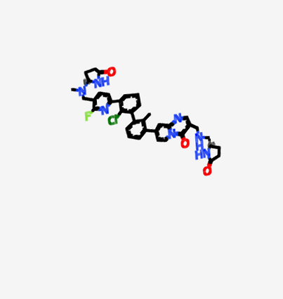 Cc1c(-c2ccn3c(=O)c(CNC[C@@H]4CCC(=O)N4)cnc3c2)cccc1-c1cccc(-c2ccc(CN(C)[C@H]3CCC(=O)N3)c(F)n2)c1Cl